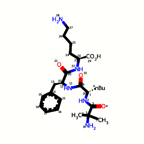 CCCC[C@H](NC(=O)C(C)(C)N)C(=O)N[C@@H](Cc1ccccc1)C(=O)N[C@@H](CCCCN)C(=O)O